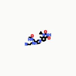 CC(=O)NCC(NCCC#N)C1CCN(c2ccc3c(=O)[nH]c(=O)n(C4CC4)c3c2C)C1